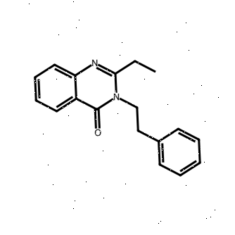 CCc1nc2ccccc2c(=O)n1CCc1ccccc1